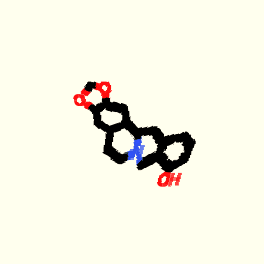 Oc1cccc2c1=CN1CCC3CC4OCOC4=CC3=C1C=2